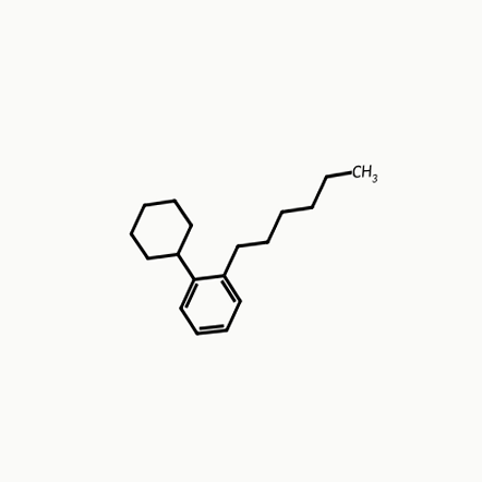 CCCCCCc1ccccc1C1CCCCC1